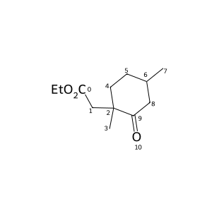 CCOC(=O)CC1(C)CCC(C)CC1=O